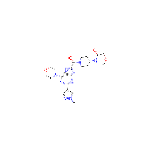 Cn1cc(-c2nc(N3CCOCC3)c3nc(C(=O)N4CCC(N5CCOCC5=O)CC4)[nH]c3n2)cn1